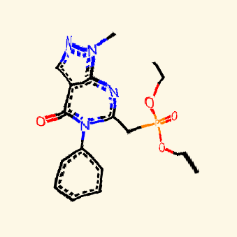 CCOP(=O)(Cc1nc2c(cnn2C)c(=O)n1-c1ccccc1)OCC